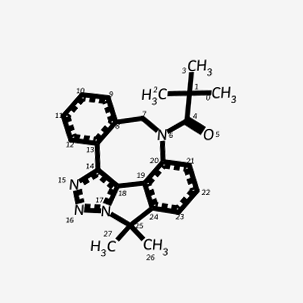 CC(C)(C)C(=O)N1Cc2ccccc2-c2nnn3c2-c2c1cccc2C3(C)C